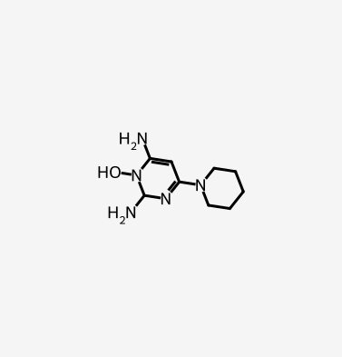 NC1=CC(N2CCCCC2)=NC(N)N1O